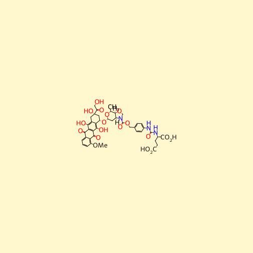 COc1cccc2c1C(=O)c1c(O)c3c(c(O)c1C2=O)C[C@@](O)(C(=O)CO)C[C@@H]3O[C@H]1C[C@H]2[C@H](OCN2C(=O)OCc2ccc(NC(=O)N[C@H](CCC(=O)O)C(=O)O)cc2)[C@H](C)O1